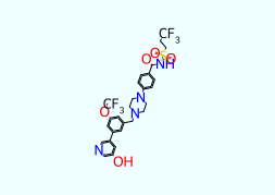 O=C(NS(=O)(=O)CCC(F)(F)F)c1ccc(N2CCN(Cc3cc(OC(F)(F)F)cc(-c4cncc(O)c4)c3)CC2)cc1